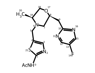 CC(=O)Nc1ncc(CN2C[C@H](Cc3ncc(F)cn3)OC[C@@H]2C)s1